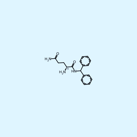 NC(=O)CC[C@H](N)C(=O)NC(c1ccccc1)c1ccccc1